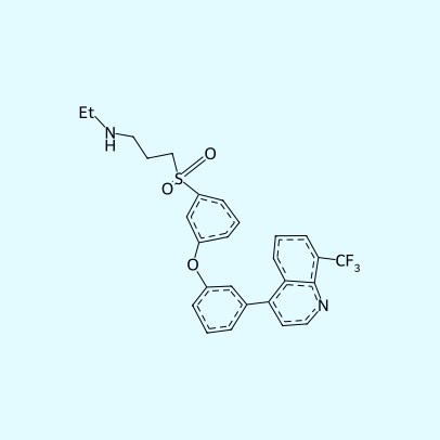 CCNCCCS(=O)(=O)c1cccc(Oc2cccc(-c3ccnc4c(C(F)(F)F)cccc34)c2)c1